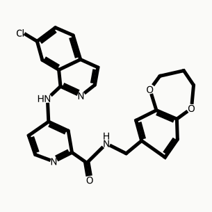 O=C(NCc1ccc2c(c1)OCCCO2)c1cc(Nc2nccc3ccc(Cl)cc23)ccn1